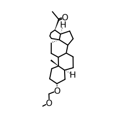 COCO[C@@H]1CC[C@]2(C)C3CC[C@]45CCC[C@@H](C(C)=O)[C@H]4CCC5C3CC[C@H]2C1